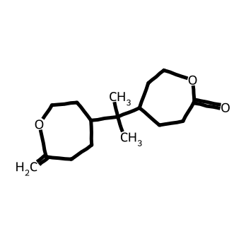 C=C1CCC(C(C)(C)C2CCOC(=O)CC2)CCO1